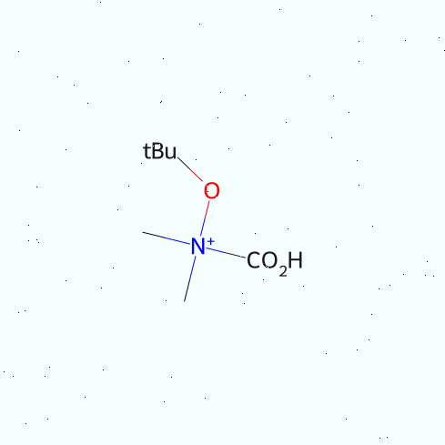 CC(C)(C)O[N+](C)(C)C(=O)O